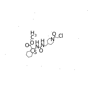 CCOC(=O)c1c(NC(=O)NCC2CCN(C(=O)CCl)CC2)sc2c1CCCC2